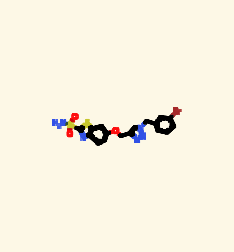 NS(=O)(=O)c1nc2ccc(OCc3cn(Cc4cccc(Br)c4)nn3)cc2s1